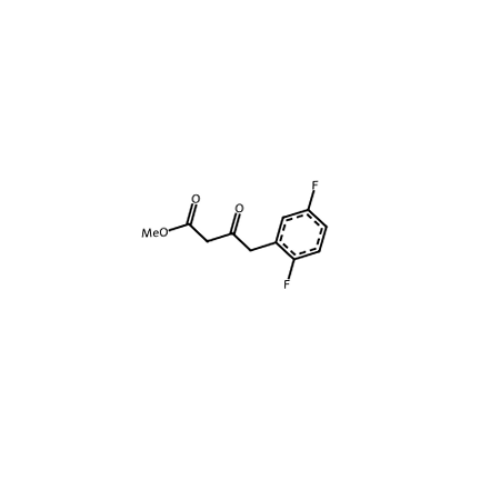 COC(=O)CC(=O)Cc1cc(F)ccc1F